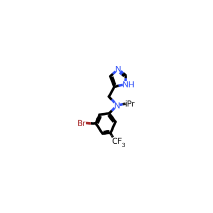 CC(C)N(Cc1cnc[nH]1)c1cc(Br)cc(C(F)(F)F)c1